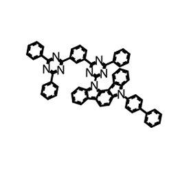 c1ccc(-c2ccc(-n3c4ccccc4c4c3ccc3c5ccccc5n(-c5nc(-c6ccccc6)nc(-c6cccc(-c7nc(-c8ccccc8)nc(-c8ccccc8)n7)c6)n5)c34)cc2)cc1